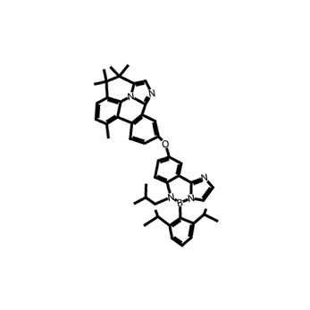 Cc1ccc2c3c1c1ccc(Oc4ccc5c(c4)-c4nccn4B(c4c(C(C)C)cccc4C(C)C)N5CC(C)C)cc1c1ncc(n13)C(C)(C)C2(C)C